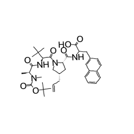 C=CC[C@H]1C[C@@H](C(=O)NC(Cc2ccc3ccccc3c2)C(=O)O)N(C(=O)[C@@H](NC(=O)[C@H](C)N(C)C(=O)OC(C)(C)C)C(C)(C)C)C1